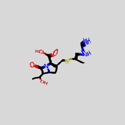 CC(CNC=N)SCC1=C(C(=O)O)N2C(=O)C(C(C)O)C2C1